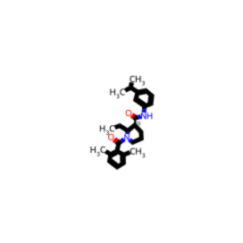 CCC1[C@@H](C(=O)Nc2cccc(C(C)C)c2)CCCN1C(=O)c1c(C)cccc1C